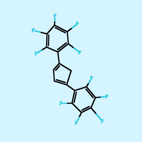 Fc1c(F)c(F)c(C2=CC=C(c3c(F)c(F)c(F)c(F)c3F)C2)c(F)c1F